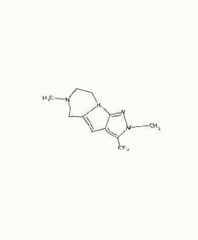 CN1CCn2c(cc3c(C(F)(F)F)n(C)nc32)C1